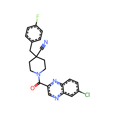 N#CC1(Cc2ccc(F)cc2)CCN(C(=O)c2cnc3cc(Cl)ccc3n2)CC1